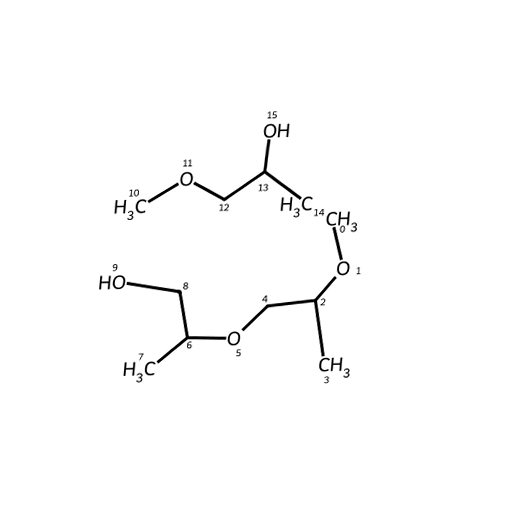 COC(C)COC(C)CO.COCC(C)O